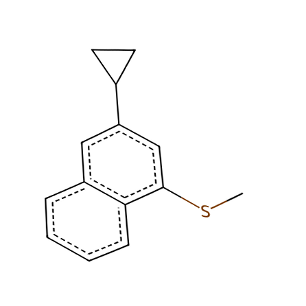 CSc1cc(C2CC2)cc2ccccc12